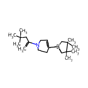 C=C(CC(C)(C)C)N1CC=C(B2CC(C)(C)C(C)(C)C2)CC1